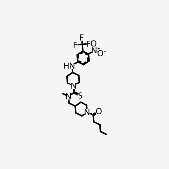 CCCCC(=O)N1CCC(CN(C)C(=S)N2CCC(Nc3ccc([N+](=O)[O-])c(C(F)(F)F)c3)CC2)CC1